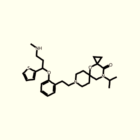 CNCCC(Oc1ccccc1CCN1CCC2(CC1)CN(C(C)C)C(=O)C1(CC1)O2)c1cccs1